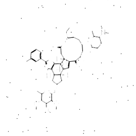 CC[C@H]1CCC[C@H](O[C@H]2CC[C@H](N(C)C)C(C)O2)[C@@H](C)C(=O)C2=C[C@H]3[C@@H]4C[C@H](O[C@@H]5OC(C)[C@H](OC)C(OC)C5OC)C[C@H]4c4nc(-c5cccc(C)c5)sc4[C@H]3[C@@H]2CC(=O)O1